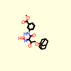 COC(=O)c1cccc(NC(=O)/C(=N\O)C(=O)COC23CC4CC(CC(C4)C2)C3)c1